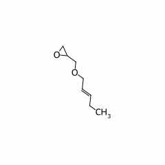 CC/C=C/COCC1CO1